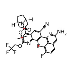 CC(C)(C)OC(=O)N1[C@@H]2CC[C@H]1CN(c1nc(OCC(F)(F)F)nc3c(F)c(-c4nc(N)cc5ccc(F)c(F)c45)c(C#N)cc13)C2